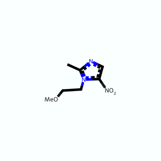 COCCn1c([N+](=O)[O-])cnc1C